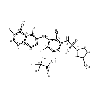 Cc1c(Nc2c(F)ccc(NS(=O)(=O)N3CCC(C(F)(F)F)C3)c2Cl)ccc2ncn(C)c(=O)c12.O=C(O)C(F)(F)F